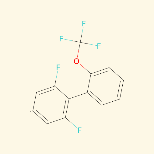 Fc1c[c]cc(F)c1-c1ccccc1OC(F)(F)F